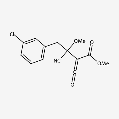 COC(=O)C(=C=O)C(C#N)(Cc1cccc(Cl)c1)OC